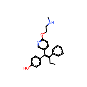 CC/C(=C(\c1ccc(O)cc1)c1ccc(OCCNC)nc1)c1ccccc1